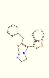 c1ccc(SC2=C(c3csc4ccccc34)N3CCN=C3S2)cc1